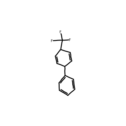 FC(F)(F)[C]1C=CC(c2ccccc2)C=C1